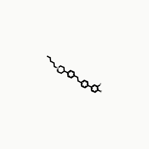 CCCCC[SiH]1CCC(c2ccc(CCc3ccc(-c4ccc(F)c(F)c4)cc3)cc2)CC1